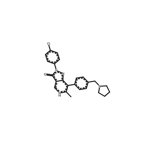 Cc1[nH]cc2c(=O)n(-c3ccc(Cl)cc3)nc-2c1-c1ccc(CN2CCCC2)cc1